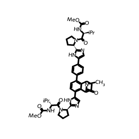 COC(=O)N[C@H](C(=O)N1CCC[C@H]1c1ncc(-c2ccc(-c3ccc(-c4cnc([C@H]5CCCN5C(=O)[C@H](NC(=O)OC)C(C)C)[nH]4)c4c3C3CCC4C(=O)N3C)cc2)[nH]1)C(C)C